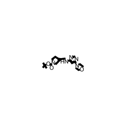 CC(C)(C)OC(=O)N1CCC2C(CNc3cc(N4CCOCC4)ncn3)C2C1